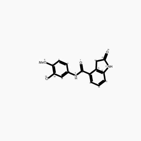 COc1ccc(NC(=O)c2cccc3c2CC(=O)N3)cc1Cl